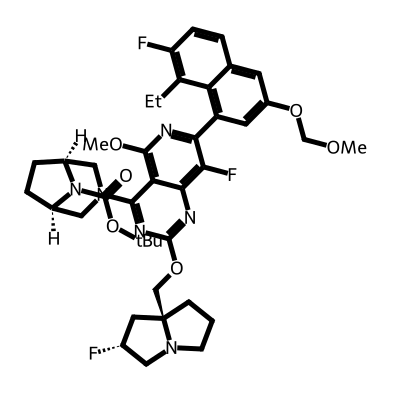 CCc1c(F)ccc2cc(OCOC)cc(-c3nc(OC)c4c(N5C[C@H]6CC[C@@H](C5)N6C(=O)OC(C)(C)C)nc(OC[C@@]56CCCN5C[C@H](F)C6)nc4c3F)c12